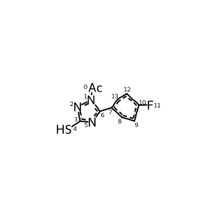 CC(=O)n1nc(S)nc1-c1ccc(F)cc1